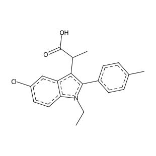 CCn1c(-c2ccc(C)cc2)c(C(C)C(=O)O)c2cc(Cl)ccc21